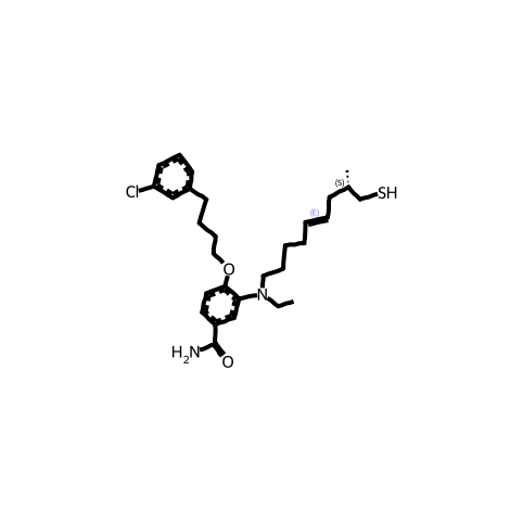 CCN(CCCC/C=C/C[C@H](C)CS)c1cc(C(N)=O)ccc1OCCCCc1cccc(Cl)c1